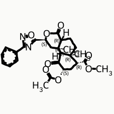 COC(=O)[C@@H]1C[C@H](OC(C)=O)C(=O)[C@H]2[C@@]1(C)CC[C@H]1C(=O)O[C@H](c3nc(-c4ccccc4)no3)C[C@]21C